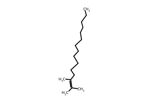 [CH2]/C(C)=C(\C)CCCCCCCCCCCC